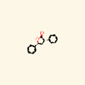 O=C1O[C@H](c2ccccc2)C[C@H]1c1ccccc1